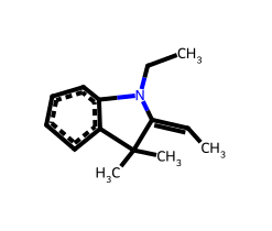 C/C=C1/N(CC)c2ccccc2C1(C)C